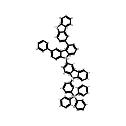 c1ccc(-c2ccc3c(c2)c2c(-c4ccc5sc6ccccc6c5c4)cccc2n3-c2ccc3c(c2)c2ccccc2n3-c2cccc([Si](c3ccccc3)(c3ccccc3)c3ccccc3)c2)cc1